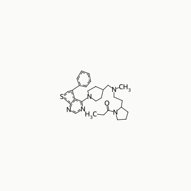 CCC(=O)N1CCCC1CCN(C)CC1CCN(c2ncnc3scc(-c4ccccc4)c23)CC1